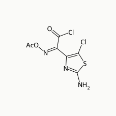 CC(=O)ON=C(C(=O)Cl)c1nc(N)sc1Cl